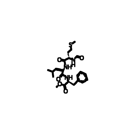 COC(=O)[C@H](Cc1ccccc1)NC(=O)/C(=C\C(C)C)NC(=O)[C@H](CCSC)NC=O